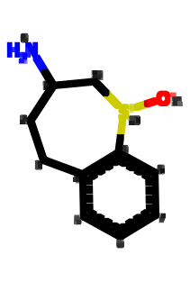 NC1CCc2ccccc2[S+]([O-])C1